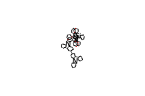 C[Si]1(c2ccccc2)[Si](c2ccccc2)(c2ccccc2)[Si](c2ccccc2)(c2cccc(-n3c4ccccc4c4cc(-c5ccc6c(c5)c5ccccc5n6-c5ccccc5)ccc43)c2)[Si]1(c1ccccc1)c1ccccc1